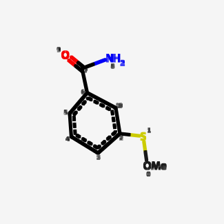 COSc1cccc(C(N)=O)c1